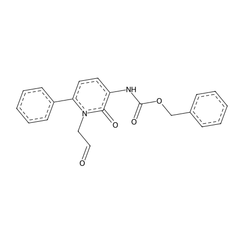 O=CCn1c(-c2ccccc2)ccc(NC(=O)OCc2ccccc2)c1=O